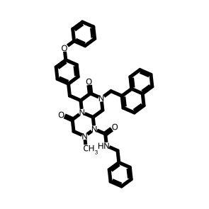 CN1CC(=O)N2C(Cc3ccc(Oc4ccccc4)cc3)C(=O)N(Cc3cccc4ccccc34)CC2N1C(=O)NCc1ccccc1